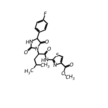 COC(=O)c1csc(NC(=O)C(CC(C)C)N2C(=O)NC(c3ccc(F)cc3)C2=O)n1